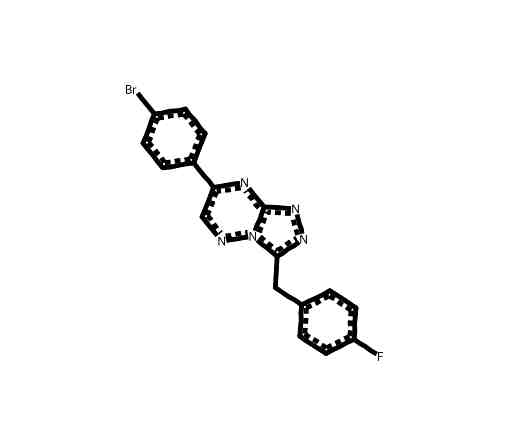 Fc1ccc(Cc2nnc3nc(-c4ccc(Br)cc4)cnn23)cc1